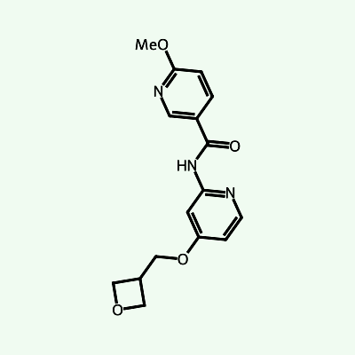 COc1ccc(C(=O)Nc2cc(OCC3COC3)ccn2)cn1